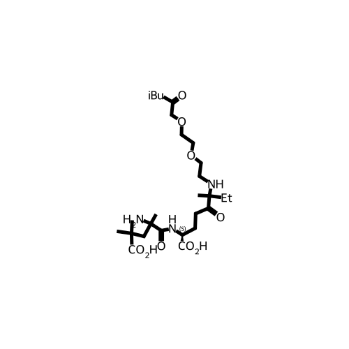 CCC(C)C(=O)COCCOCCNC(C)(CC)C(=O)CC[C@H](NC(=O)C(C)(N)CC(C)(C)C(=O)O)C(=O)O